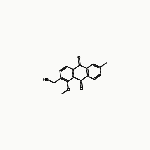 COc1c(CO)ccc2c1C(=O)c1ccc(C)cc1C2=O